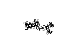 CC(OC(=O)OC(CO[N+](=O)[O-])CO[N+](=O)[O-])OC(=O)C1=Cc2cc(Cl)c(C(C)(C)C)cc2OC1C(F)(F)F